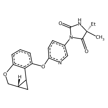 CC[C@@]1(C)NC(=O)N(c2ccc(Oc3cccc4c3C3C[C@@H]3CO4)nc2)C1=O